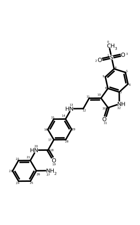 CS(=O)(=O)c1ccc2c(c1)C(=CCNc1ccc(C(=O)Nc3ccccc3N)cc1)C(=O)N2